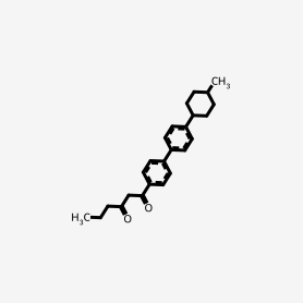 CCCC(=O)CC(=O)c1ccc(-c2ccc(C3CCC(C)CC3)cc2)cc1